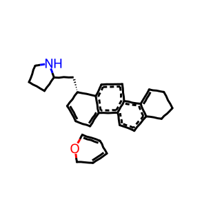 C1=CCOC=C1.C1=C[C@H](CC2CCCN2)c2ccc3c4c(ccc3c2=C1)CCCC=4